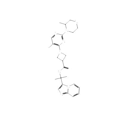 CC1CNCCN1c1ncc(Cl)c(N2CC(C(=O)NC(C)(C)c3cnc4ccccn34)C2)n1